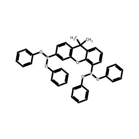 CC1(C)c2ccc(P(Oc3ccccc3)Oc3ccccc3)cc2Oc2c(P(Oc3ccccc3)Oc3ccccc3)cccc21